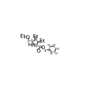 CCOCc1[nH]c(C(=O)OCc2ccccc2)c(CC)c1CC